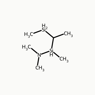 C[SiH2]C(C)[SiH](C)N(C)C